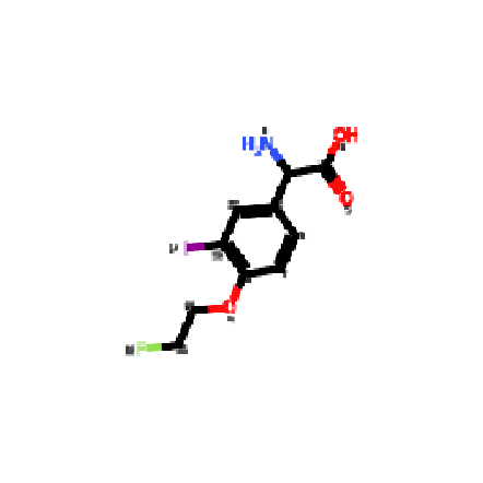 NC(C(=O)O)c1ccc(OCCF)c(I)c1